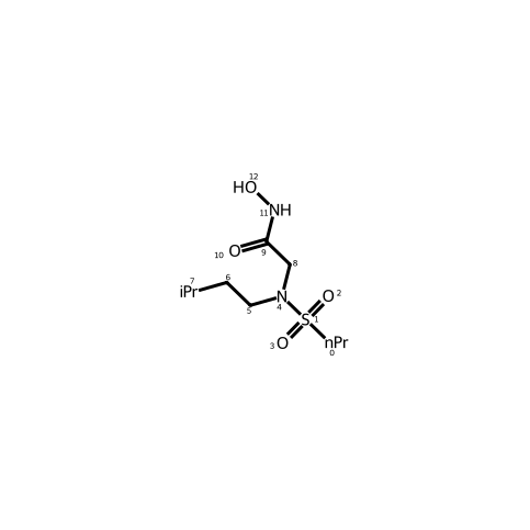 CCCS(=O)(=O)N(CCC(C)C)CC(=O)NO